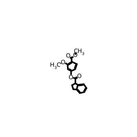 COC(=O)c1ccc(OC(=O)C2CCc3ccccc32)cc1OC